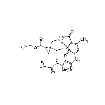 CCOC(=O)C1CC12CCC1(CC2)NC(=O)c2c(C)cc(Nc3cc(NC(=O)C4CC4)ncn3)c(=O)n21